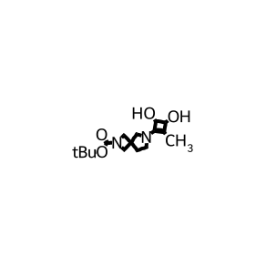 CC1=C(N2CCC3(CN(C(=O)OC(C)(C)C)C3)C2)C(O)C1O